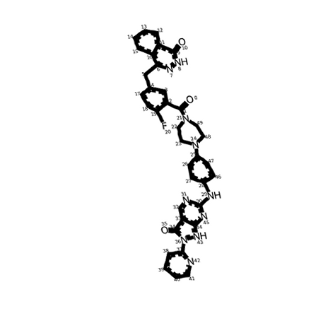 O=C(c1cc(Cc2n[nH]c(=O)c3ccccc23)ccc1F)N1CCN(c2ccc(Nc3ncc4c(=O)n(-c5ccccn5)[nH]c4n3)cc2)CC1